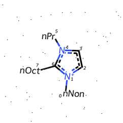 CCCCCCCCC[n+]1ccn(CCC)c1CCCCCCCC